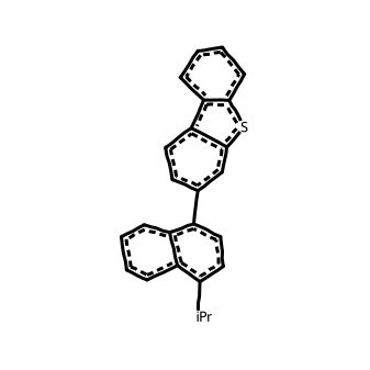 CC(C)c1ccc(-c2ccc3c(c2)sc2ccccc23)c2ccccc12